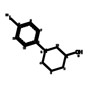 OC1CCCN(c2ccc(I)cc2)C1